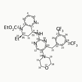 CCOC(=O)N1c2cccnc2[C@@H](Nc2ncc(N3CCOCC3)c(Cc3cc(C(F)(F)F)cc(C(F)(F)F)c3)n2)C[C@H]1CC